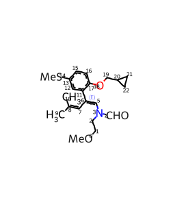 COCCN(C=O)/C=C(\C=C(C)C)c1cc(SC)ccc1OCC1CC1